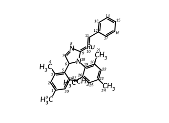 Cc1cc(C)c(C2C=N[C](=[Ru]=[CH]c3ccccc3)N2c2c(C)cc(C)cc2C)c(C)c1